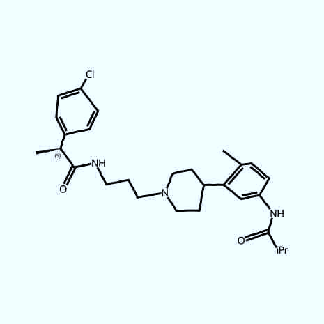 Cc1ccc(NC(=O)C(C)C)cc1C1CCN(CCCNC(=O)[C@@H](C)c2ccc(Cl)cc2)CC1